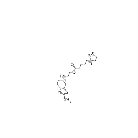 C[C@]1(CCCCC(=O)OCCN[C@H]2CCc3nc(N)sc3C2)CCSS1